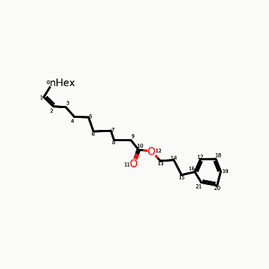 CCCCCC/C=C\CCCCCCCC(=O)OCCCc1ccccc1